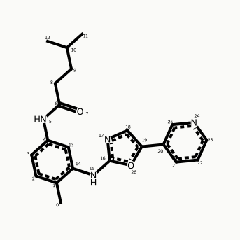 Cc1ccc(NC(=O)CCC(C)C)cc1Nc1ncc(-c2cccnc2)o1